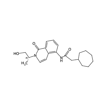 C[C@H](CO)n1ccc2c(NC(=O)CC3CCCCCC3)cccc2c1=O